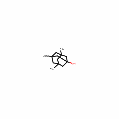 CC(=O)OC12CC3(C)CC(O)(C1)CC(OC(C)=O)(C3)C2